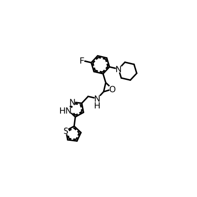 Fc1ccc(N2CCCCC2)c(C2OC2NCc2cc(-c3cccs3)[nH]n2)c1